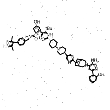 Cc1n[nH]c(C)c1-c1ccc(CNC(=O)[C@@H]2C[C@@H](O)CN2C(=O)[C@@H](NC(=O)[C@H]2CC[C@H](N3CCC(c4cnc(C56CC7CN(c8cc(-c9ccccc9O)nnc8N)CC(C5)N76)nc4)CC3)CC2)C(C)(C)C)cc1